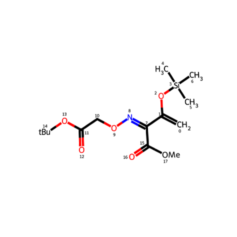 C=C(O[Si](C)(C)C)C(=NOCC(=O)OC(C)(C)C)C(=O)OC